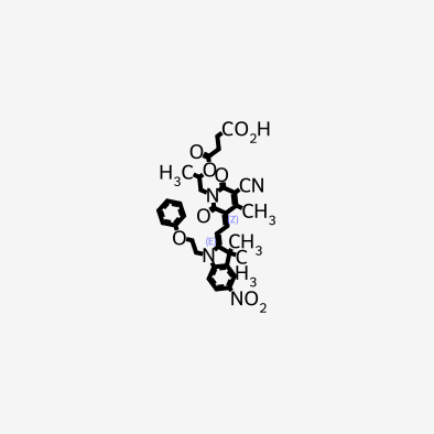 CC1=C(C#N)C(=O)N(CC(C)OC(=O)CCC(=O)O)C(=O)/C1=C\C=C1\N(CCOc2ccccc2)c2ccc([N+](=O)[O-])cc2C1(C)C